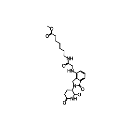 COC(=O)CCCCCCNC(=O)CNc1cccc2c1CN(C1CCC(=O)NC1=O)C2=O